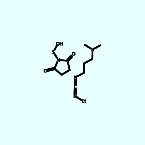 CCN=C=NCCCN(C)C.O=C1CCC(=O)N1SO